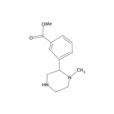 COC(=O)c1cccc(C2CNCCN2C)c1